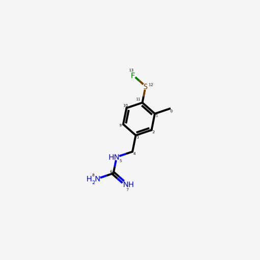 Cc1cc(CNC(=N)N)ccc1SF